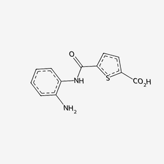 Nc1ccccc1NC(=O)c1ccc(C(=O)O)s1